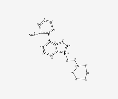 COc1ncccc1-c1ncnc2c1cnn2CCN1CCCCC1